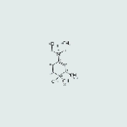 CCN(CC)C1=CC(C)C(C)(Cl)C=C1